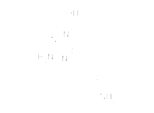 CC(C)(O)Cn1c(CC2CC2)nc2c(N)nc3cc(Cc4cccc(CN)c4)ccc3c21